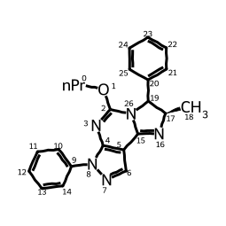 CCCOC1=Nc2c(cnn2-c2ccccc2)C2=N[C@H](C)C(c3ccccc3)N12